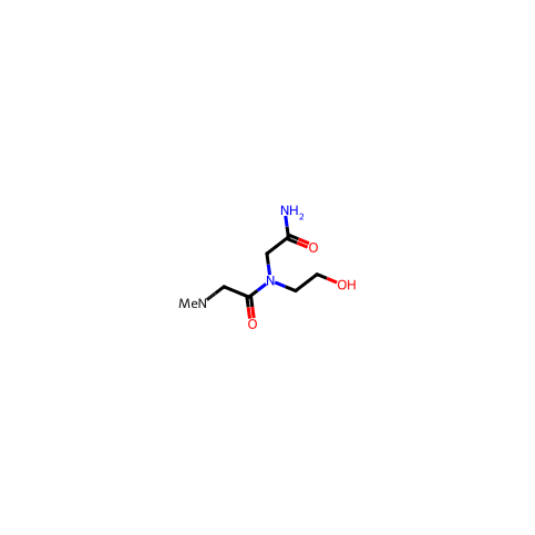 CNCC(=O)N(CCO)CC(N)=O